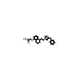 O=C(O)COc1cccc2c1CCCC2CCn1cnc(Cc2ccccc2)c1